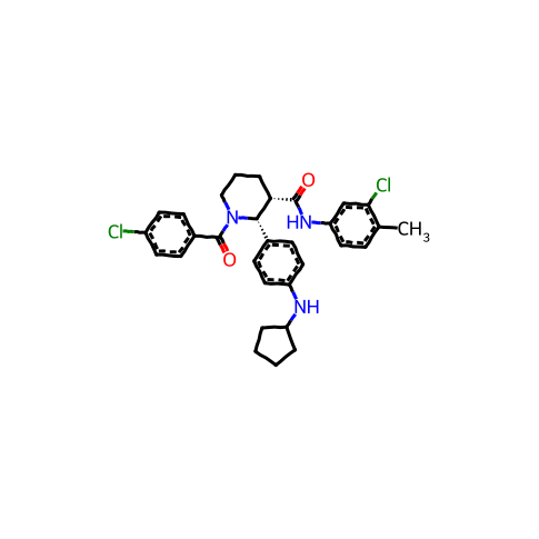 Cc1ccc(NC(=O)[C@H]2CCCN(C(=O)c3ccc(Cl)cc3)[C@H]2c2ccc(NC3CCCC3)cc2)cc1Cl